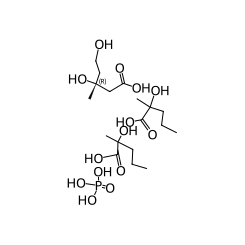 CCCC(C)(O)C(=O)O.CCCC(C)(O)C(=O)O.C[C@@](O)(CCO)CC(=O)O.O=P(O)(O)O